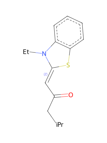 CCN1/C(=C/C(=O)CC(C)C)Sc2ccccc21